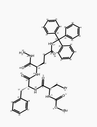 CC(C)C[C@@H](NC(=O)OC(C)(C)C)C(=O)N[C@H](Cc1ccccc1)C(=O)N[C@H](CCC(=O)NC(c1ccccc1)(c1ccccc1)c1ccccc1)C(=O)NN